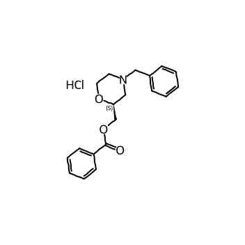 Cl.O=C(OC[C@@H]1CN(Cc2ccccc2)CCO1)c1ccccc1